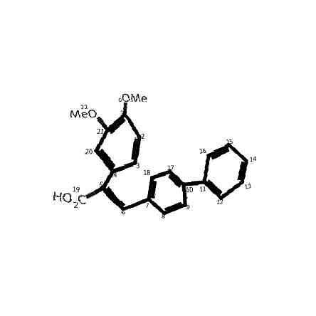 COc1ccc(/C(=C\c2ccc(-c3ccccc3)cc2)C(=O)O)cc1OC